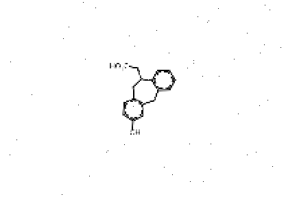 O=C(O)C[C@@H]1Cc2ccc(O)cc2Cc2ccccc21